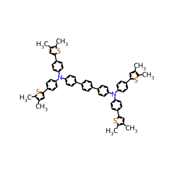 Cc1cc(-c2ccc(N(c3ccc(-c4ccc(-c5ccc(N(c6ccc(-c7cc(C)c(C)s7)cc6)c6ccc(-c7cc(C)c(C)s7)cc6)cc5)cc4)cc3)c3ccc(-c4cc(C)c(C)s4)cc3)cc2)sc1C